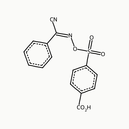 N#CC(=NOS(=O)(=O)c1ccc(C(=O)O)cc1)c1ccccc1